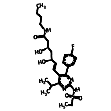 CCCCNC(=O)C[C@H](O)C[C@H](O)/C=C/c1c(-c2ccc(F)cc2)nc(NS(=O)(=O)CC)nc1C(C)C